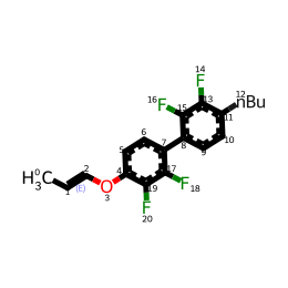 C/C=C/Oc1ccc(-c2ccc(CCCC)c(F)c2F)c(F)c1F